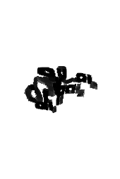 C=C/C=C(\C(=C)O)C(=O)N1N=C(C)/C(=C\c2cccc(O)c2)C1=O